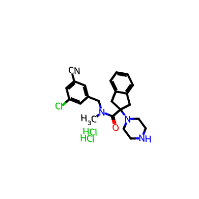 CN(Cc1cc(Cl)cc(C#N)c1)C(=O)C1(N2CCNCC2)Cc2ccccc2C1.Cl.Cl